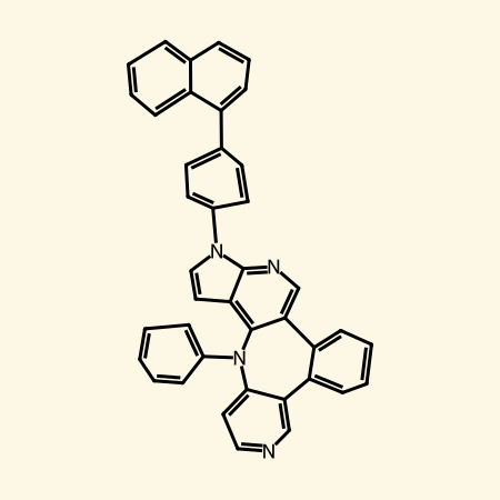 c1ccc(N2c3ccncc3-c3ccccc3-c3cnc4c(ccn4-c4ccc(-c5cccc6ccccc56)cc4)c32)cc1